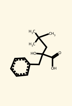 CC(C)(C)CC(O)(Cc1ccccc1)C(=O)O